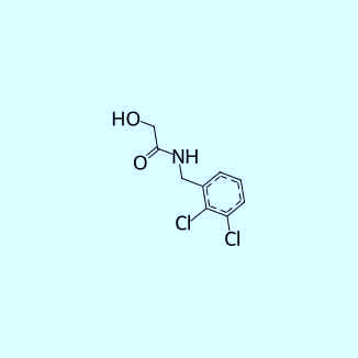 O=C(CO)NCc1cccc(Cl)c1Cl